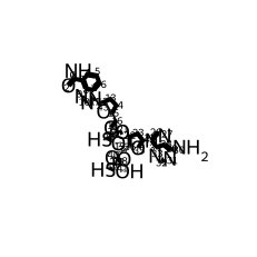 NC(=O)c1cccc2c1nnn2[C@H]1CC[C@@H](COP(=O)(S)O[C@H]2C[C@H](n3cnc4c(N)ncnc43)O[C@@H]2COP(=O)(O)S)O1